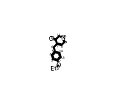 CCOc1ccc(CC2=CC=NCC2=O)cc1